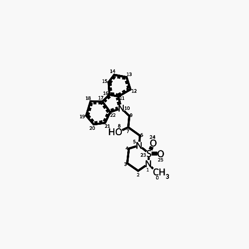 CN1CCCN(CC(O)Cn2c3ccccc3c3ccccc32)S1(=O)=O